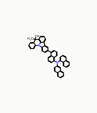 CC1(C)c2ccccc2-n2c3ccc(-c4cccc5c(N(c6ccc7ccccc7c6)c6cccc7ccccc67)cccc45)cc3c3cccc1c32